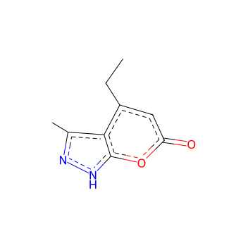 CCc1cc(=O)oc2[nH]nc(C)c12